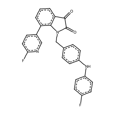 O=C1C(=O)N(Cc2ccc(Nc3ccc(F)cc3)cc2)c2c1cccc2-c1ccc(F)nc1